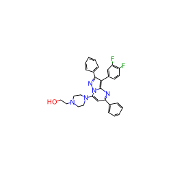 OCCN1CCN(c2cc(-c3ccccc3)nc3c(-c4ccc(F)c(F)c4)c(-c4ccccc4)nn23)CC1